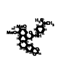 COc1ccc2c(CC(=O)Nc3ccc(N(C)C)cc3)c3[n+](cc2c1OC)CCc1cc2c(cc1-3)OCO2.[I-]